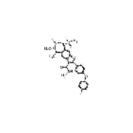 CNC(=O)c1c(-c2ccc(Oc3ccc(F)cc3)cc2)oc2cc3c(cc12)C(C)N(C)C(=O)CN3S(C)(=O)=O